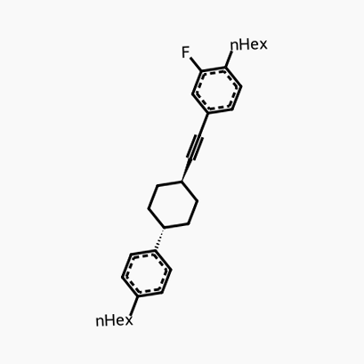 CCCCCCc1ccc([C@H]2CC[C@H](C#Cc3ccc(CCCCCC)c(F)c3)CC2)cc1